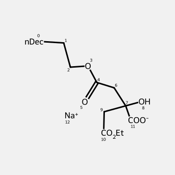 CCCCCCCCCCCCOC(=O)CC(O)(CC(=O)OCC)C(=O)[O-].[Na+]